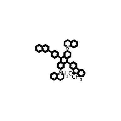 CC1(C)c2ccccc2-c2ccc(-c3c4c(c(-c5ccc(-c6ccc7ccccc7c6)cc5)c5ccc(N6CCCc7ccccc76)cc35)=CC(N3CCCc5ccccc53)CC=4)cc21